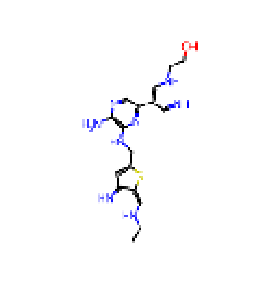 CCN/C=C1/SC(CNc2nc(/C(C=N)=C/NCCO)cnc2N)=CC1=N